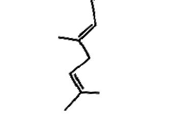 [CH2]/C=C(\C)CC=C(C)C